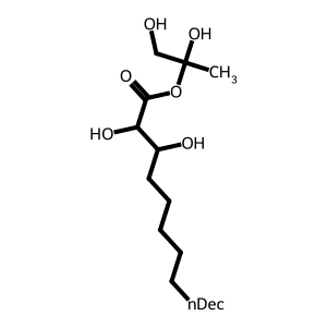 CCCCCCCCCCCCCCCC(O)C(O)C(=O)OC(C)(O)CO